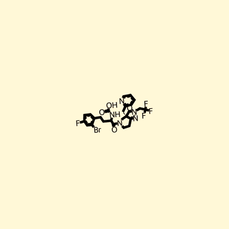 O=C(O)NC(CCc1ccc(F)cc1Br)C(=O)N1CCC2=NN(CC(F)(F)F)C(=O)[C@]2(Cc2ccccn2)C1